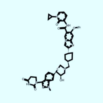 CC(C)Oc1cc2nc([C@H]3CC[C@H](CN4CC[C@H](c5ccc6c(N7CCC(=O)NC7=O)nn(C)c6c5)[C@H](O)C4)CC3)cn2cc1C(=O)Nc1cccn(C2CC2)c1=O